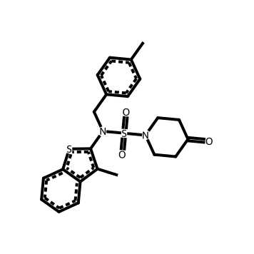 Cc1ccc(CN(c2sc3ccccc3c2C)S(=O)(=O)N2CCC(=O)CC2)cc1